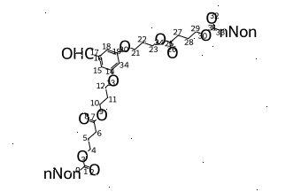 CCCCCCCCCC(=O)OCCCC(=O)OCCCOc1cc(C=O)cc(OCCCOC(=O)CCCOC(=O)CCCCCCCCC)c1